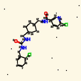 O=C(NCc1ccccc1Cl)NCC1CCC(CNC(=O)c2ccc(Cl)nc2)CC1